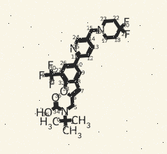 CC(C)(C)N(Cc1cc2cc(-c3ccc(CN4CCC(F)(F)CC4)cn3)cc(C(F)(F)F)c2o1)C(=O)O